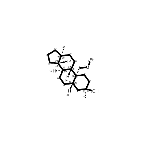 CCOC[C@]12CC[C@@](C)(O)C[C@@H]1CC[C@H]1[C@@H]3CCC[C@@]3(C)CC[C@@H]12